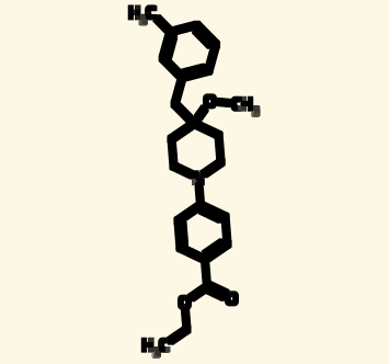 CCOC(=O)c1ccc(N2CCC(Cc3cccc(C)c3)(OC)CC2)cc1